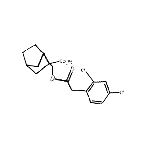 CCOC(=O)C1(OC(=O)Cc2ccc(Cl)cc2Cl)CC2CCC1C2